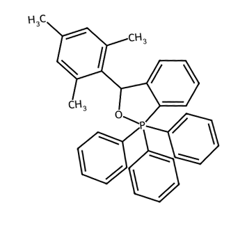 Cc1cc(C)c(C2OP(c3ccccc3)(c3ccccc3)(c3ccccc3)c3ccccc32)c(C)c1